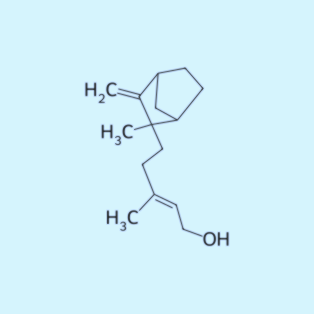 C=C1C2CCC(C2)C1(C)CCC(C)=CCO